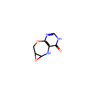 O=c1[nH]cnc2c1NC1OC1CO2